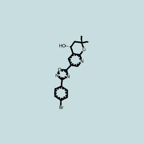 CC1(C)C[C@@H](O)c2cc(-c3nc(-c4ccc(Br)cc4)no3)cnc2O1